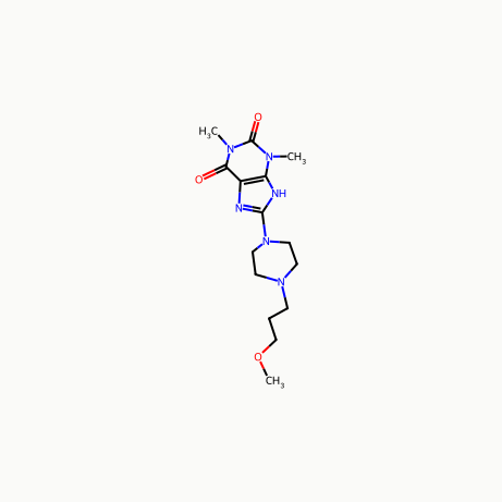 COCCCN1CCN(c2nc3c(=O)n(C)c(=O)n(C)c3[nH]2)CC1